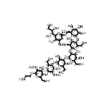 CC(=O)NC1[C@H](OCCN)OC(CO)[C@@H](O[C@@H]2OC(CO)[C@@H](O[C@@H]3OC(CO)[C@@H](O)[C@H](O[C@H]4OC(CO)[C@@H](O)C(O)C4O[C@@H]4OC(CO)[C@@H](O[C@@H]5OC(CO[C@]6(C(=O)O)C[C@@H](O)[C@@H](C)C([C@H](O)[C@H](O)CO)O6)[C@H](O)[C@H](O)C5O)[C@H](O)C4NC(C)=O)C3O)[C@H](O)C2NC(C)=O)[C@@H]1O